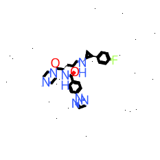 CN1CCN(C(=O)[C@H](CCCN[C@@H]2C[C@H]2c2ccc(F)cc2)NC(=O)c2ccc(-n3nccn3)cc2)CC1